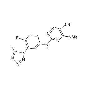 CNc1nc(Nc2ccc(F)c(-n3nnnc3C)c2)ncc1C#N